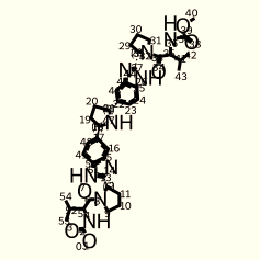 COC(=O)NC(C(=O)N1CCC[C@H]1c1nc2cc([C@H]3CC[C@H](c4ccc5[nH]c([C@@H]6CCCN6C(=O)C(NC(=O)OC)C(C)C)nc5c4)N3)ccc2[nH]1)C(C)C